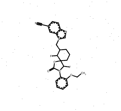 CCOc1ccccc1N1C(=O)OC2(CCCC(Cn3cnc4ccc(C#N)cc43)C2F)C1F